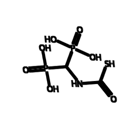 O=C(S)NC(P(=O)(O)O)P(=O)(O)O